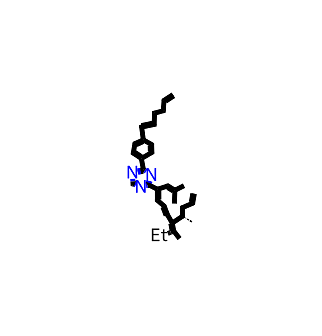 C=CCC/C=C/c1ccc(-c2ncnc(/C(C=C(C)C)=C/C=C/C(=C(/C)CC)[C@@H](C)CC=C)n2)cc1